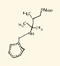 CCCCCCCCCCC(C)C(C)(C)NCc1ccccc1